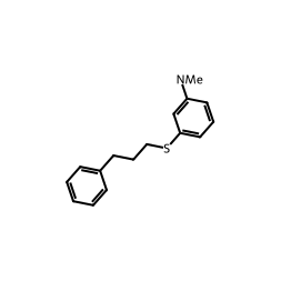 CNc1cccc(SCCCc2ccccc2)c1